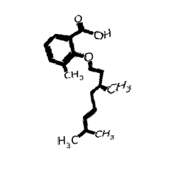 Cc1cccc(C(=O)O)c1OCCC(C)CCCC(C)C